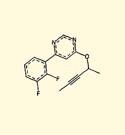 CC#CC(C)Oc1cc(-c2cccc(F)c2F)ncn1